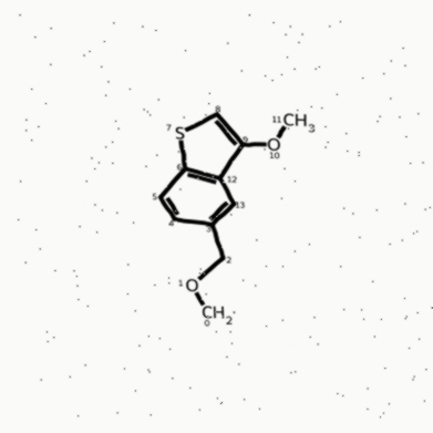 [CH2]OCc1ccc2scc(OC)c2c1